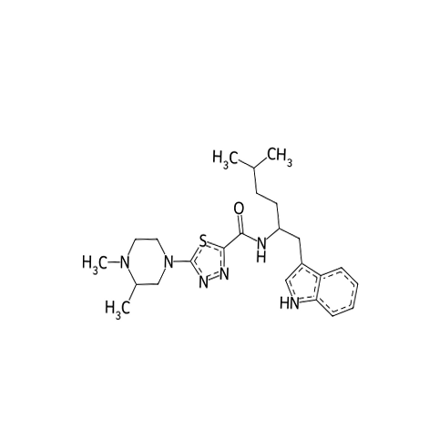 CC(C)CCC(Cc1c[nH]c2ccccc12)NC(=O)c1nnc(N2CCN(C)C(C)C2)s1